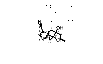 C=CCC(O)(Cn1cncc1C#N)C1(Cl)CC1